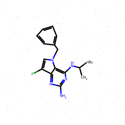 CCCCC(C)Nc1nc(N)nc2c(F)cn(Cc3ccccc3)c12